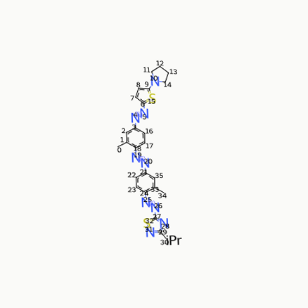 Cc1cc(/N=N/c2ccc(N3CCCC3)s2)ccc1/N=N/c1ccc(/N=N/c2nc(C(C)C)ns2)c(C)c1